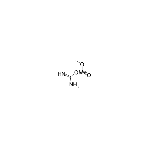 COC(=N)N.COC=O